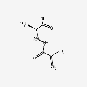 C=C(C)C(=O)NN[C@@H](C)C(=O)O